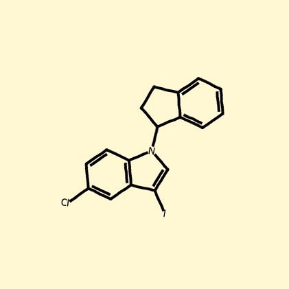 Clc1ccc2c(c1)c(I)cn2C1CCc2ccccc21